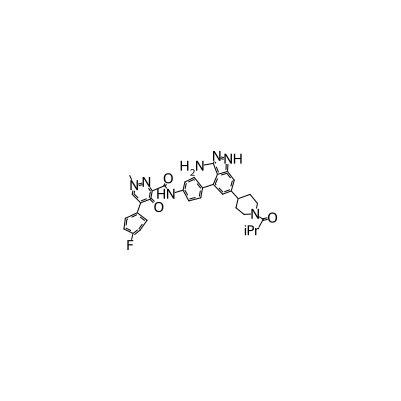 CC(C)C(=O)N1CCC(c2cc(-c3ccc(NC(=O)c4nn(C)cc(-c5ccc(F)cc5)c4=O)cc3)c3c(N)n[nH]c3c2)CC1